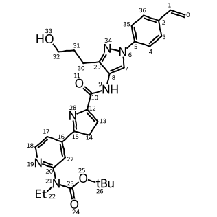 C=Cc1ccc(-n2cc(NC(=O)C3=CCC(c4ccnc(N(CC)C(=O)OC(C)(C)C)c4)=N3)c(CCCO)n2)cc1